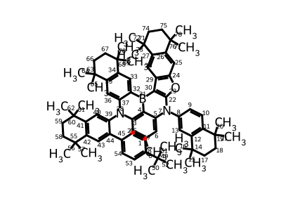 Cc1cc2c3c(c1)N(c1ccc4c(c1)C(C)(C)CCC4(C)C)c1oc4cc5c(cc4c1B3c1cc3c(cc1N2c1cc2c(cc1-c1ccc(C(C)(C)C)cc1)C(C)(C)CCC2(C)C)C(C)(C)CCC3(C)C)C(C)(C)CCC5(C)C